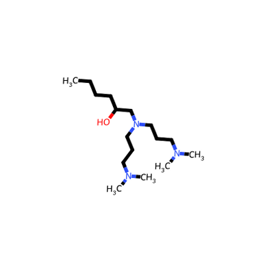 CCCCC(O)CN(CCCN(C)C)CCCN(C)C